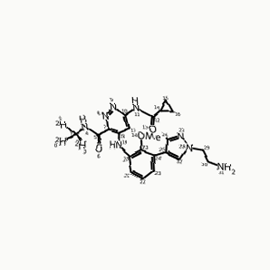 [2H]C([2H])([2H])NC(=O)c1nnc(NC(=O)C2CC2)cc1Nc1cccc(-c2cnn(CCN)c2)c1OC